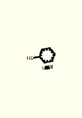 N#N.Sc1ccccc1